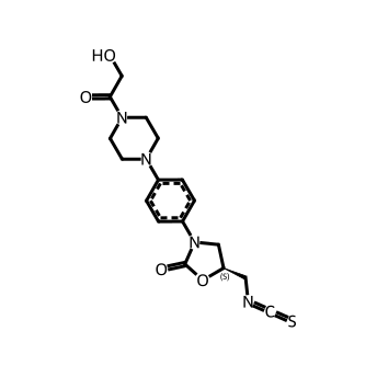 O=C(CO)N1CCN(c2ccc(N3C[C@@H](CN=C=S)OC3=O)cc2)CC1